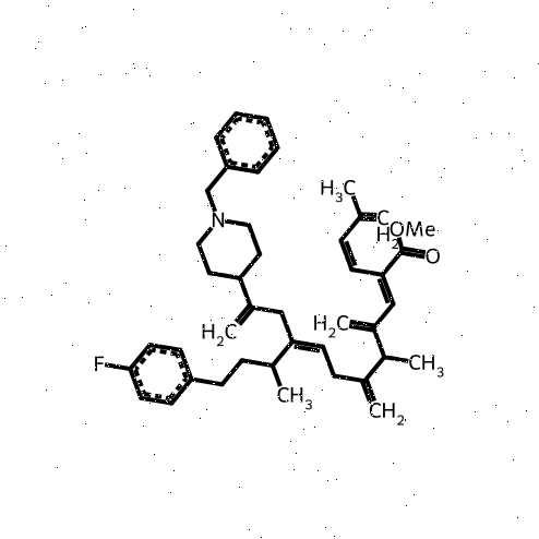 C=C(C)/C=C\C(=C/C(=C)C(C)C(=C)C/C=C(/CC(=C)C1CCN(Cc2ccccc2)CC1)C(C)CCc1ccc(F)cc1)C(=O)OC